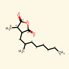 CCCCCCC(C)CC1C(=O)OC(=O)C1C